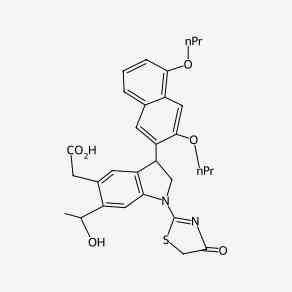 CCCOc1cc2c(OCCC)cccc2cc1C1CN(C2=NC(=O)CS2)c2cc(C(C)O)c(CC(=O)O)cc21